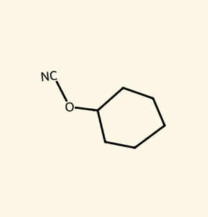 N#CO[C]1CCCCC1